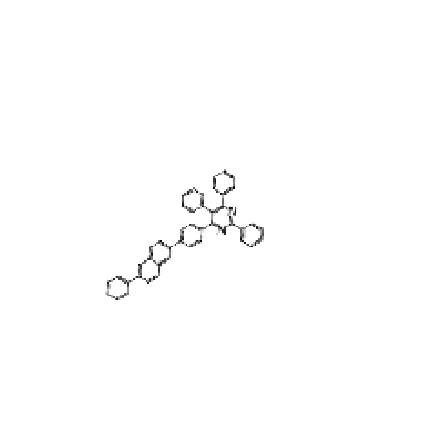 c1ccc(-c2ccc3cc(-c4ccc(-c5nc(-c6ccccc6)nc(-c6ccccc6)c5-c5ccccc5)cc4)ccc3c2)cc1